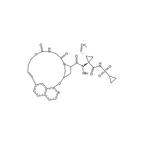 C=C[C@@H]1C[C@@]1(C(=O)NS(=O)(=O)C1CC1)N(CCCC)C(=O)C1CC2CN1C(=O)CNC(=O)OCC/C=C/c1ccc3ccnc(c3c1)O2